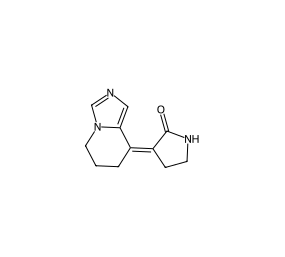 O=C1NCC/C1=C1\CCCn2cncc21